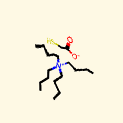 CCCC[N+](CCCC)(CCCC)CCCC.O=C([O-])CS